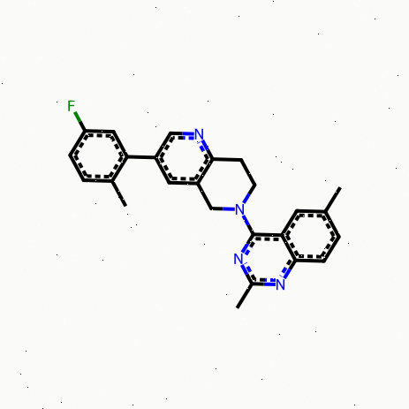 Cc1ccc2nc(C)nc(N3CCc4ncc(-c5cc(F)ccc5C)cc4C3)c2c1